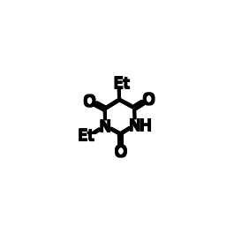 CCC1C(=O)NC(=O)N(CC)C1=O